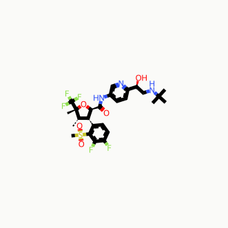 C[C@H]1[C@@H](c2ccc(F)c(F)c2S(C)(=O)=O)[C@H](C(=O)Nc2ccc([C@@H](O)CNC(C)(C)C)nc2)O[C@@]1(C)C(F)(F)F